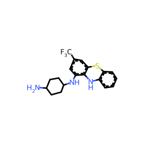 NC1CCC(Nc2cc(C(F)(F)F)cc3c2Nc2ccccc2S3)CC1